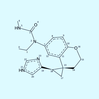 CCN(C(=O)NC)c1ccc2c(c1)[C@]1(CCO2)C[C@H]1c1c[nH]cn1